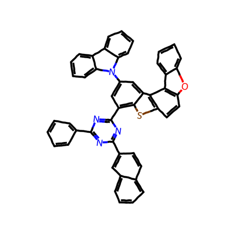 c1ccc(-c2nc(-c3ccc4ccccc4c3)nc(-c3cc(-n4c5ccccc5c5ccccc54)cc4c3sc3ccc5oc6ccccc6c5c34)n2)cc1